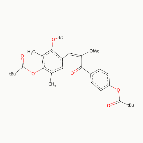 CCOc1c(C=C(OC)C(=O)c2ccc(OC(=O)C(C)(C)C)cc2)cc(C)c(OC(=O)C(C)(C)C)c1C